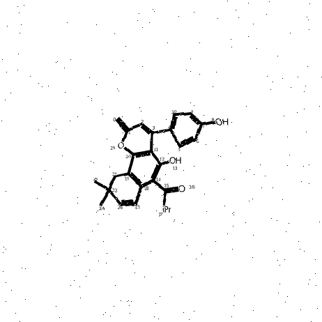 C=C1C=C(c2ccc(O)cc2)c2c(O)c(C(=O)C(C)C)c3c(c2O1)CC(C)(C)C=C3